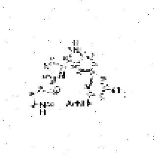 CC(=O)Nc1cc(-c2ccc3[nH]cc(-c4cncc(OC5CCCNC5)n4)c3c2)cc(C(F)(F)F)c1